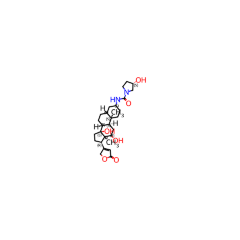 C[C@]12CC[C@H](NC(=O)N3CC[C@H](O)C3)C[C@H]1CC[C@@H]1[C@@H]2C[C@@H](O)[C@]2(C)[C@@H](C3=CC(=O)OC3)CC[C@]12O